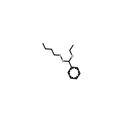 CCCCSSC(OCC)c1ccccc1